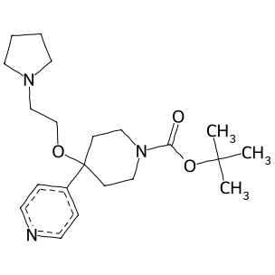 CC(C)(C)OC(=O)N1CCC(OCCN2CCCC2)(c2ccncc2)CC1